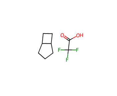 C1CC2CCC2C1.O=C(O)C(F)(F)F